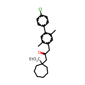 CCOC(=O)C1(CC(=O)Cc2cc(C)c(-c3ccc(Cl)cc3)cc2C)CCCCCC1